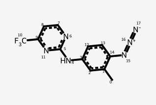 Cc1cc(Nc2nccc(C(F)(F)F)n2)ccc1N=[N+]=[N-]